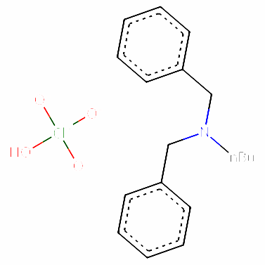 CCCCN(Cc1ccccc1)Cc1ccccc1.[O-][Cl+3]([O-])([O-])O